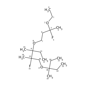 CCOC(C)(F)CCOC(C)(CC)C(C)(F)COC(C)(CC)CC